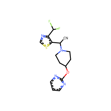 N#CC(c1scnc1C(F)F)N1CCC(Oc2ncccn2)CC1